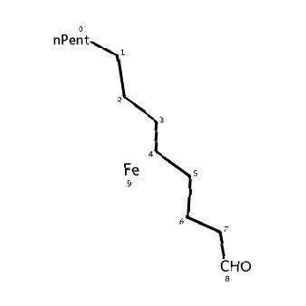 CCCCCCCCCCCCC=O.[Fe]